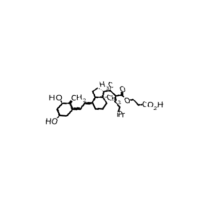 C=C1/C(=C\C=C2CCC[C@@]3(C)C2CC[C@@H]3[C@H](C)C(CCC(C)C)C(=O)OCCC(=O)O)C[C@@H](O)C[C@H]1O